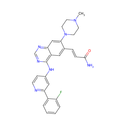 CN1CCN(c2cc3ncnc(Nc4ccnc(-c5ccccc5F)c4)c3cc2C=CC(N)=O)CC1